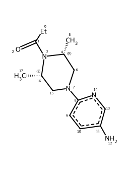 CCC(=O)N1[C@H](C)CN(c2ccc(N)cn2)C[C@@H]1C